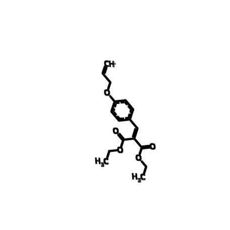 [CH]=CCOc1ccc(C=C(C(=O)OCC)C(=O)OCC)cc1